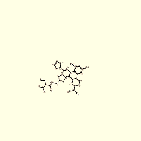 C=CC(C(=O)NC[C@H]1CC2=C(C3=NC(C(F)F)CC=C3)[C@H](c3ccc(F)cc3Cl)N=C(C3CC=CS3)N2C1)C(C)C